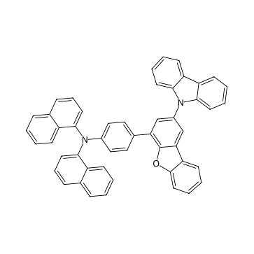 c1ccc2c(N(c3ccc(-c4cc(-n5c6ccccc6c6ccccc65)cc5c4oc4ccccc45)cc3)c3cccc4ccccc34)cccc2c1